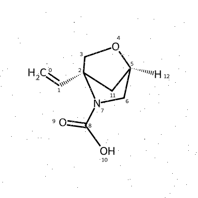 C=C[C@@]12CO[C@@H](CN1C(=O)O)C2